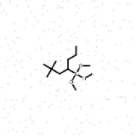 CCCC(CC(C)(C)C)[Si](OC)(OC)OC